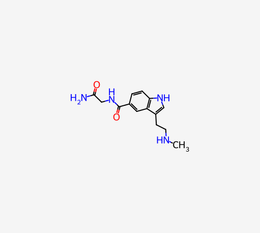 CNCCc1c[nH]c2ccc(C(=O)NCC(N)=O)cc12